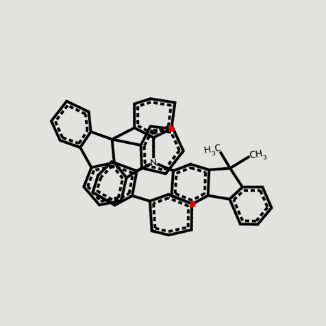 CC1(C)c2ccccc2-c2ccc(N(c3ccccc3-c3ccccc3)c3ccccc3C34c5ccccc5-c5cccc(c53)-c3ccccc34)cc21